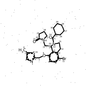 Cc1cnc(COc2ccc(Br)c3c2[C@@H](CN2CCCC2=O)N(C(=O)C2CCCCC2)CC3)s1